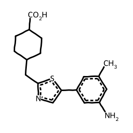 Cc1cc(N)cc(-c2cnc(CC3CCC(C(=O)O)CC3)s2)c1